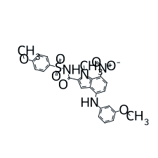 COc1ccc(S(=O)(=O)NC(=O)c2cc3c(Nc4cccc(OC)c4)ccc([N+](=O)[O-])c3n2C)cc1